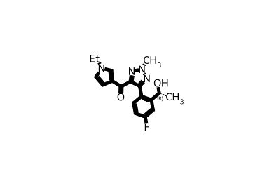 CCn1ccc(C(=O)c2nn(C)nc2-c2ccc(F)cc2[C@@H](C)O)c1